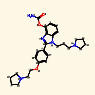 NC(=O)Oc1cccc2c1nc(-c1ccc(OCCN3CCCC3)cc1)n2CCCN1CCCC1